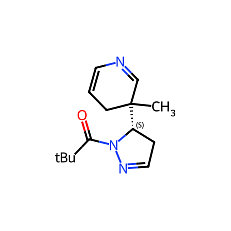 CC(C)(C)C(=O)N1N=CC[C@H]1C1(C)C=NC=CC1